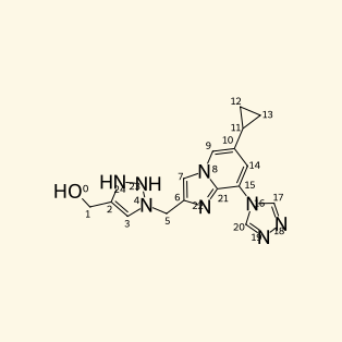 OCC1=CN(Cc2cn3cc(C4CC4)cc(-n4cnnc4)c3n2)NN1